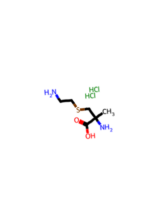 CC(N)(CSCCN)C(=O)O.Cl.Cl